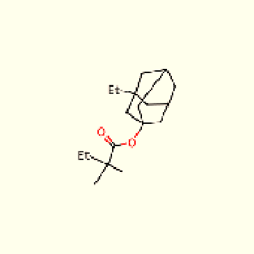 CCC12CC3CC(C1)CC(OC(=O)C(C)(C)CC)(C3)C2